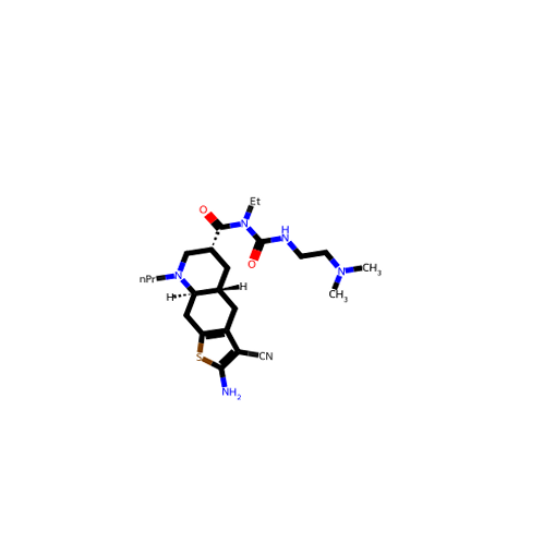 CCCN1C[C@H](C(=O)N(CC)C(=O)NCCN(C)C)C[C@@H]2Cc3c(sc(N)c3C#N)C[C@H]21